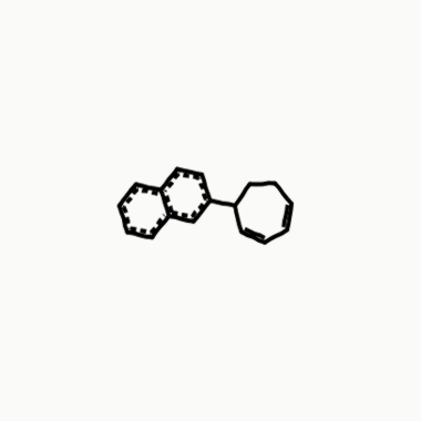 C1=CCCC(c2ccc3ccccc3c2)C=C1